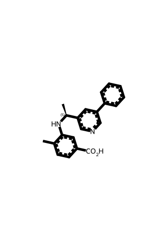 Cc1ccc(C(=O)O)cc1N[C@@H](C)c1cncc(-c2ccccc2)c1